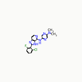 CN(C)c1cnc(Nc2nccc3nc(-c4c(F)cccc4Cl)[nH]c23)cn1